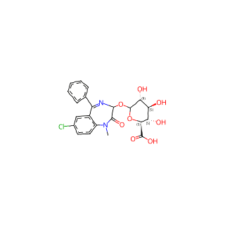 CN1C(=O)C(OC2O[C@H](C(=O)O)[C@@H](O)[C@H](O)[C@H]2O)N=C(c2ccccc2)c2cc(Cl)ccc21